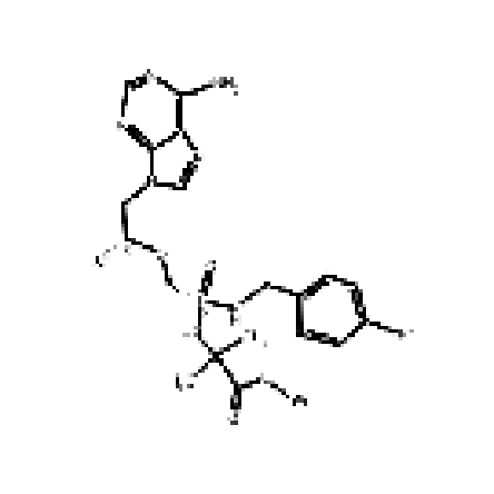 CCCOC(=O)C(C)(C)N[P@](=O)(CO[C@H](C)Cn1cnc2c(N)ncnc21)NCc1ccc(C(C)C)cc1